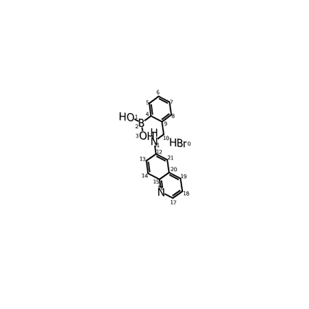 Br.OB(O)c1ccccc1CNc1ccc2ncccc2c1